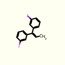 CC=C(c1cccc(I)c1)c1cccc(I)c1